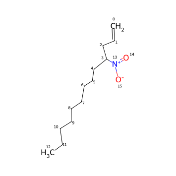 C=CCC(CCCCCCCCC)[N+](=O)[O-]